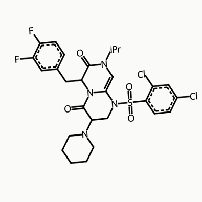 CC(C)N1C=C2N(C(=O)C(N3CCCCC3)CN2S(=O)(=O)c2ccc(Cl)cc2Cl)C(Cc2ccc(F)c(F)c2)C1=O